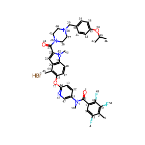 Br.Cc1c(F)cc(C(=O)N(C)c2ccc(Oc3ccc4c(cc(C(=O)N5CCN(Cc6ccc(OC(C)C)cc6)CC5)n4C)c3C)nc2)c(F)c1F